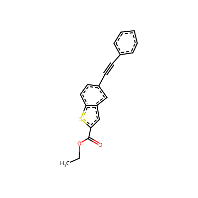 CCOC(=O)c1cc2cc(C#Cc3ccccc3)ccc2s1